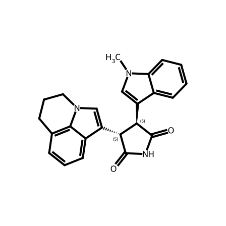 Cn1cc([C@H]2C(=O)NC(=O)[C@@H]2c2cn3c4c(cccc24)CCC3)c2ccccc21